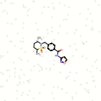 CC1CC[C@H](C)N(Cc2ccc(C(=O)Nc3ccon3)cc2)S1(=O)=O